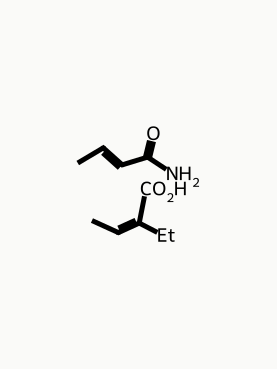 CC=C(CC)C(=O)O.CC=CC(N)=O